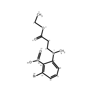 CCOC(=O)CCN(C)c1cccc(Br)c1[N+](=O)[O-]